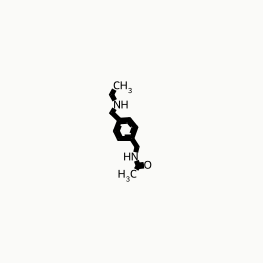 CCNCc1ccc(CNC(C)=O)cc1